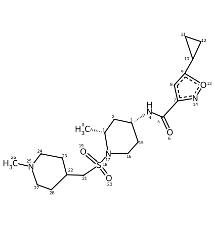 C[C@@H]1C[C@H](NC(=O)c2cc(C3CC3)on2)CCN1S(=O)(=O)CC1CCN(C)CC1